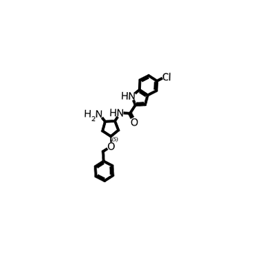 NC1C[C@H](OCc2ccccc2)CC1NC(=O)c1cc2cc(Cl)ccc2[nH]1